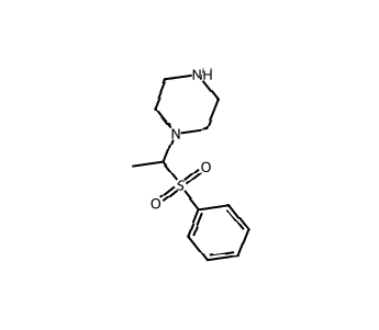 CC(N1CCNCC1)S(=O)(=O)c1ccccc1